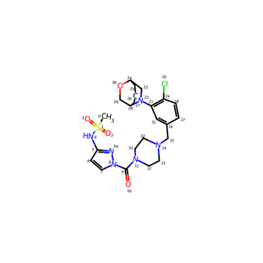 CS(=O)(=O)Nc1ccn(C(=O)N2CCN(Cc3ccc(Cl)c(N4CC5CCCC4CO5)c3)CC2)n1